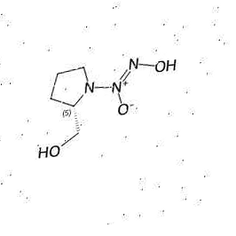 [O-][N+](=NO)N1CCC[C@H]1CO